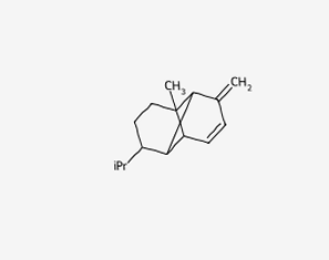 C=C1C=CC2C3C(C(C)C)CCC2(C)C13